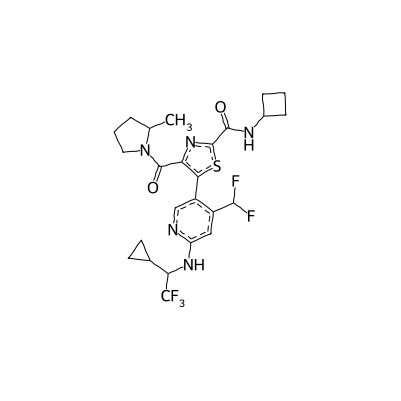 CC1CCCN1C(=O)c1nc(C(=O)NC2CCC2)sc1-c1cnc(NC(C2CC2)C(F)(F)F)cc1C(F)F